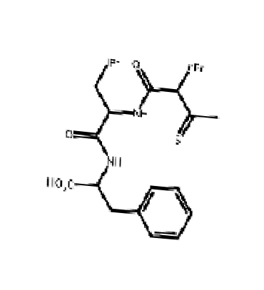 CCCC(C(=O)NC(CC(C)C)C(=O)NC(Cc1ccccc1)C(=O)O)C(C)=S